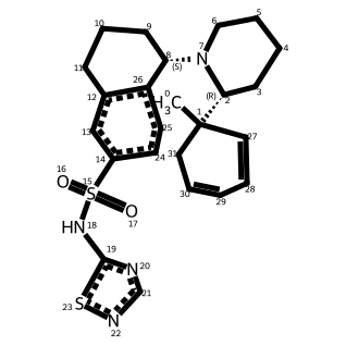 CC1([C@H]2CCCCN2[C@H]2CCCc3cc(S(=O)(=O)Nc4ncns4)ccc32)C=CC=CC1